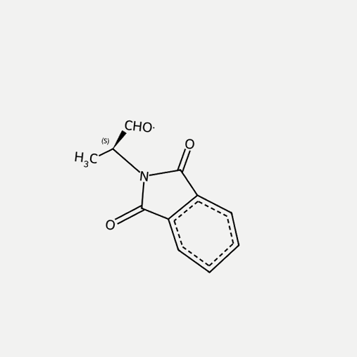 C[C@@H]([C]=O)N1C(=O)c2ccccc2C1=O